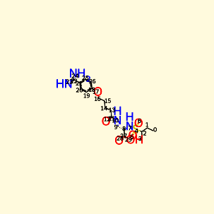 CCC(C)S(=O)(=O)N[C@@H](CNC(=O)CCCCOc1ccc(C(=N)N)cc1)C(=O)O